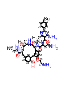 Cc1nc(-c2ccc(C(C)(C)C)cc2)nc(N)c1C(=O)NC(CCN)C(=O)N(C)[C@@H]1C(=O)N[C@@H](C)C(=O)N[C@H](C(=O)NCC#N)Cc2ccc(O)c(c2)-c2cc1ccc2OCCN